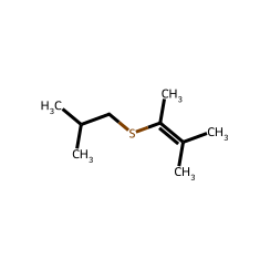 CC(C)=C(C)SCC(C)C